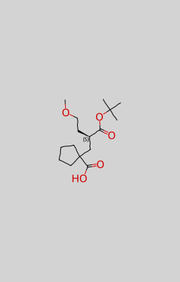 COCC[C@H](CC1(C(=O)O)CCCC1)C(=O)OC(C)(C)C